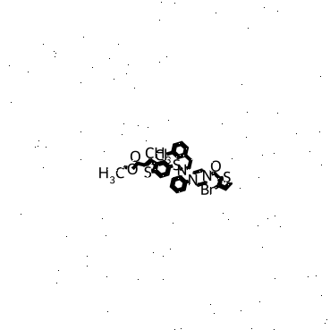 CCOC(=O)c1sc2ccc(SN(CCc3cccc(Cl)c3)c3ccccc3N3CCN(C(=O)c4sccc4Br)CC3)cc2c1C